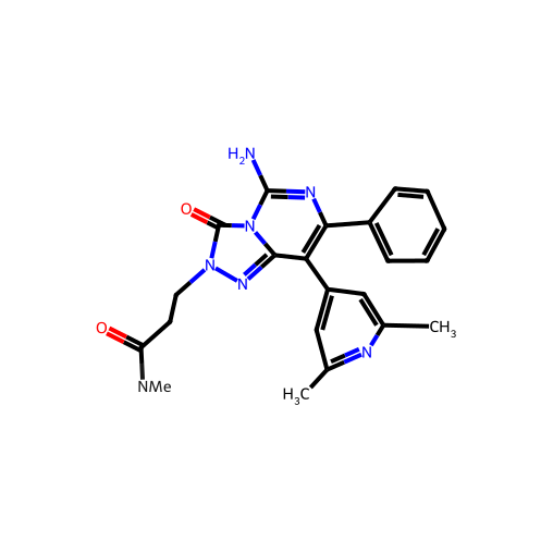 CNC(=O)CCn1nc2c(-c3cc(C)nc(C)c3)c(-c3ccccc3)nc(N)n2c1=O